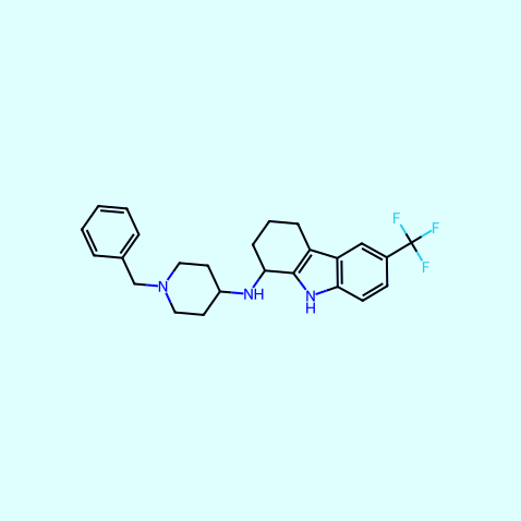 FC(F)(F)c1ccc2[nH]c3c(c2c1)CCCC3NC1CCN(Cc2ccccc2)CC1